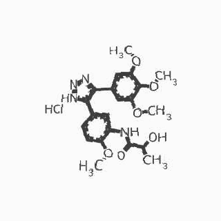 COc1ccc(-c2[nH]nnc2-c2cc(OC)c(OC)c(OC)c2)cc1NC(=O)C(C)O.Cl